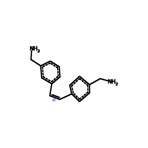 NCc1ccc(/C=C\c2cccc(CN)c2)cc1